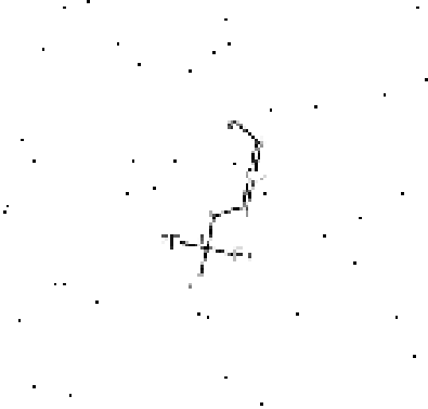 CC=C=CCC(F)(F)F